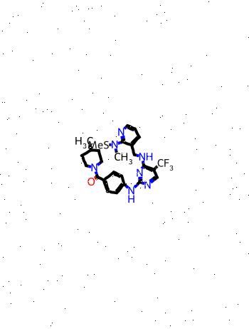 CSN(C)c1ncccc1CNc1nc(Nc2ccc(C(=O)N3CCC(C)CC3)cc2)ncc1C(F)(F)F